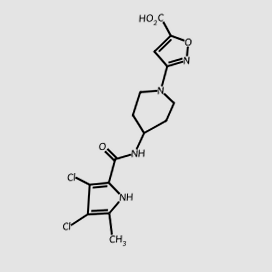 Cc1[nH]c(C(=O)NC2CCN(c3cc(C(=O)O)on3)CC2)c(Cl)c1Cl